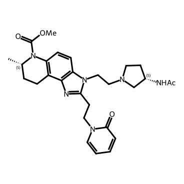 COC(=O)N1c2ccc3c(nc(CCn4ccccc4=O)n3CCN3CC[C@H](NC(C)=O)C3)c2CC[C@@H]1C